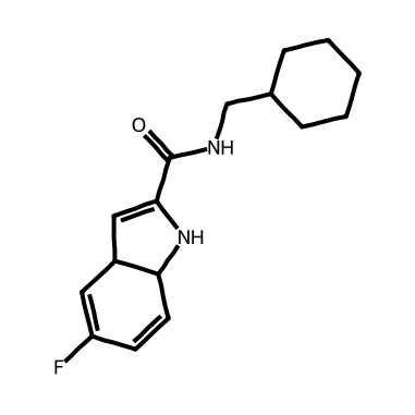 O=C(NCC1CCCCC1)C1=CC2C=C(F)C=CC2N1